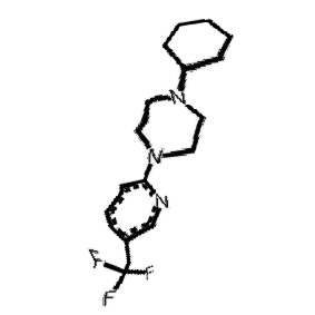 FC(F)(F)c1ccc(N2CCN(C3CCCCC3)CC2)nc1